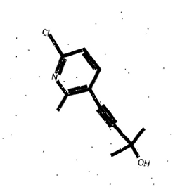 Cc1nc(Cl)ccc1C#CC(C)(C)O